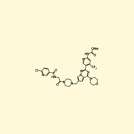 COC(=O)Nc1cc(C(F)(F)F)c(-c2nc(N3CCOCC3)c3cc(CN4CCN(C(=O)CNC(=O)c5ccc(Cl)nc5)CC4)cn3n2)cn1